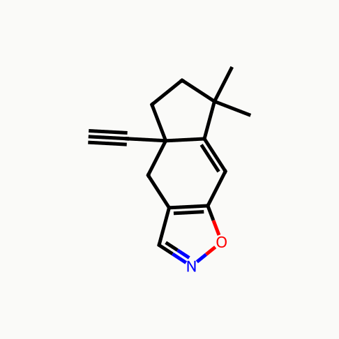 C#CC12CCC(C)(C)C1=Cc1oncc1C2